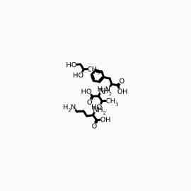 CC(O)C(N)C(=O)O.CC(O)CO.NC(Cc1ccccc1)C(=O)O.NCCCC(N)C(=O)O